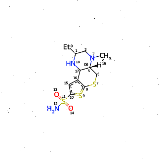 CCC1CN(C)[C@@H]2CSc3sc(S(N)(=O)=O)cc3C2N1